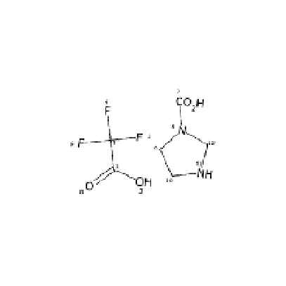 O=C(O)C(F)(F)F.O=C(O)N1CCNC1